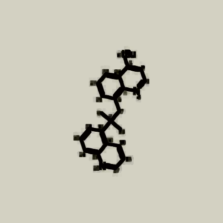 CC(C)(C)c1ccnc2c(CC(C)(C)c3cccc4ncccc34)cccc12